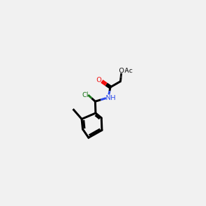 CC(=O)OCC(=O)NC(Cl)c1ccccc1C